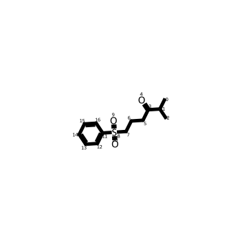 CC(C)C(=O)CCCS(=O)(=O)c1ccccc1